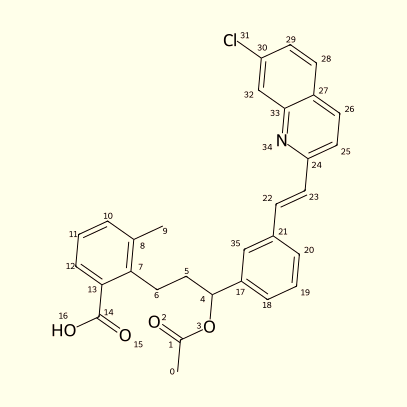 CC(=O)OC(CCc1c(C)cccc1C(=O)O)c1cccc(C=Cc2ccc3ccc(Cl)cc3n2)c1